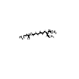 C=CC(=O)OCCCCCCN(CC)CC